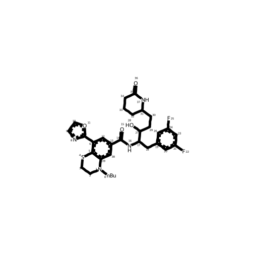 CCCCN1CCSc2c(-c3ncco3)cc(C(=O)NC(Cc3cc(F)cc(F)c3)C(O)CCC3CCCC(=O)N3)cc21